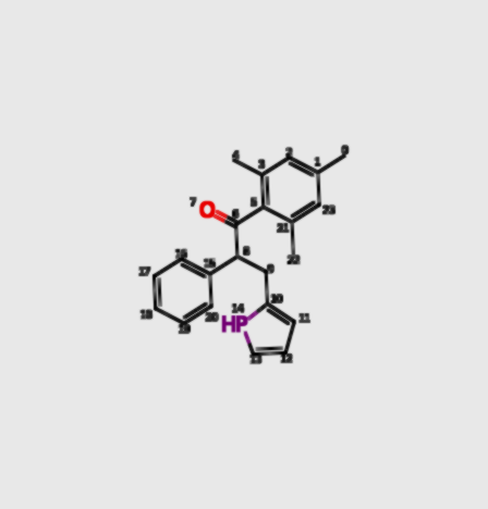 Cc1cc(C)c(C(=O)C(Cc2ccc[pH]2)c2ccccc2)c(C)c1